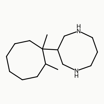 CC1CCCCCCC1(C)C1CNCCCNC1